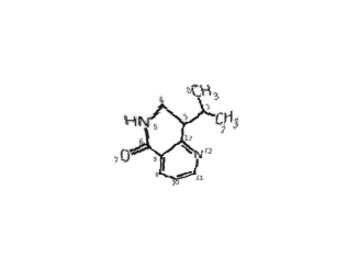 CC(C)C1CNC(=O)c2cccnc21